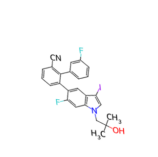 CC(C)(O)Cn1cc(I)c2cc(-c3cccc(C#N)c3-c3cccc(F)c3)c(F)cc21